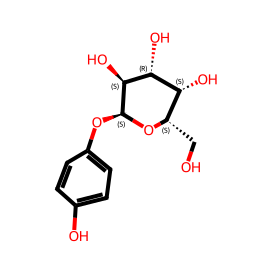 OC[C@@H]1O[C@@H](Oc2ccc(O)cc2)[C@@H](O)[C@H](O)[C@@H]1O